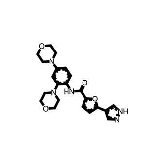 O=C(Nc1ccc(N2CCOCC2)cc1N1CCOCC1)c1ccc(-c2cn[nH]c2)o1